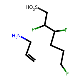 C=CCN.O=S(=O)(O)CC(F)C(F)CCCF